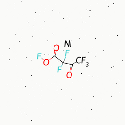 O=C(OF)C(F)(F)C(=O)C(F)(F)F.[Ni]